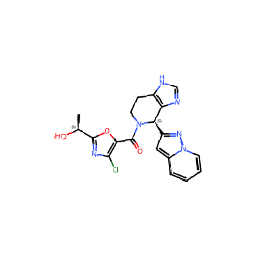 C[C@H](O)c1nc(Cl)c(C(=O)N2CCc3[nH]cnc3[C@H]2c2cc3ccccn3n2)o1